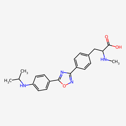 CNC(Cc1ccc(-c2noc(-c3ccc(NC(C)C)cc3)n2)cc1)C(=O)O